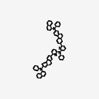 c1ccc(N(c2cccc(-c3ccc4c(ccc5cc(N(c6ccccc6)c6cccc7ccccc67)ccc54)c3)n2)c2cccc(-c3ccc4c(ccc5cc(N(c6ccccc6)c6cccc7ccccc67)ccc54)c3)n2)cc1